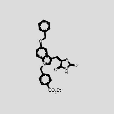 CCOC(=O)c1ccc(Cn2cc(C=C3SC(=O)NC3=O)c3cc(OCc4ccccc4)ccc32)cc1